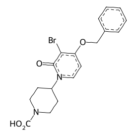 O=C(O)N1CCC(n2ccc(OCc3ccccc3)c(Br)c2=O)CC1